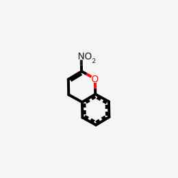 O=[N+]([O-])C1=CCc2ccccc2O1